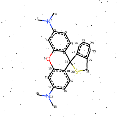 CN(C)c1ccc2c(c1)Oc1cc(N(C)C)ccc1C21SCc2ccccc21